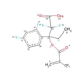 C=C(C)C(=O)OC(CC)(c1ccc(F)cc1F)C(F)(F)C(=O)O